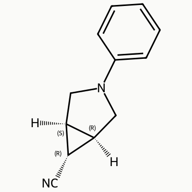 N#C[C@@H]1[C@H]2CN(c3ccccc3)C[C@@H]12